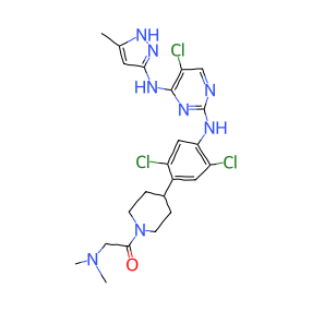 Cc1cc(Nc2nc(Nc3cc(Cl)c(C4CCN(C(=O)CN(C)C)CC4)cc3Cl)ncc2Cl)n[nH]1